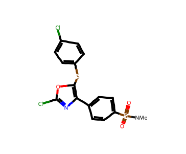 CNS(=O)(=O)c1ccc(-c2nc(Cl)oc2Sc2ccc(Cl)cc2)cc1